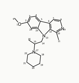 COc1ccc2c3ccnc(C)c3n(CC(C)N3CCCCC3)c2c1